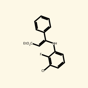 CCOC(=O)/C=C(/Nc1cccc(Cl)c1F)c1ccccc1